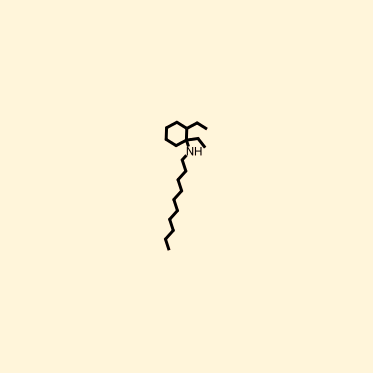 CCCCCCCCCCNC1(CC)CCCCC1CC